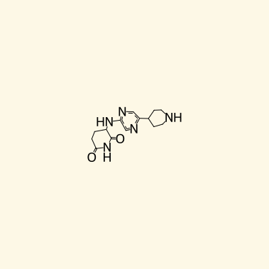 O=C1CCC(Nc2cnc(C3CCNCC3)cn2)C(=O)N1